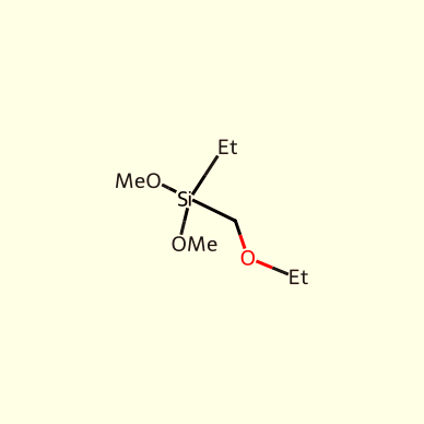 CCOC[Si](CC)(OC)OC